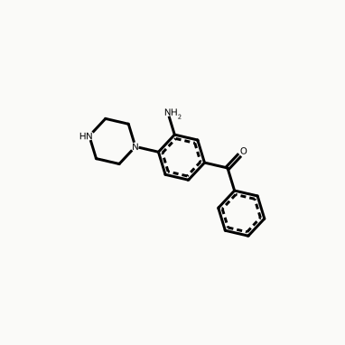 Nc1cc(C(=O)c2ccccc2)ccc1N1CCNCC1